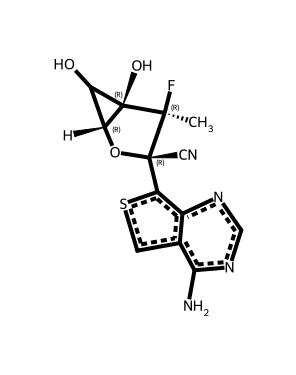 C[C@]1(F)[C@](C#N)(c2scc3c(N)ncnc23)O[C@@H]2C(O)[C@@]21O